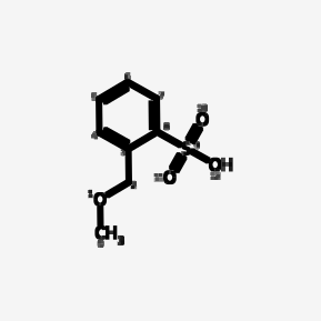 COCc1ccccc1S(=O)(=O)O